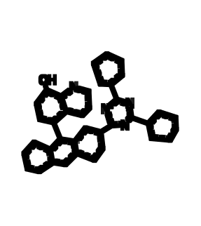 Oc1ccc(-c2c3ccccc3cc3ccc(-c4nc(-c5ccccc5)nc(-c5ccccc5)n4)cc23)c2cccnc12